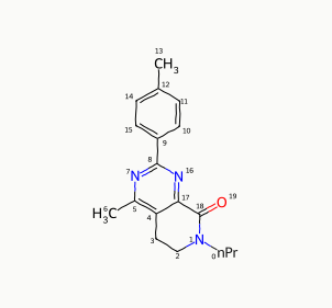 CCCN1CCc2c(C)nc(-c3ccc(C)cc3)nc2C1=O